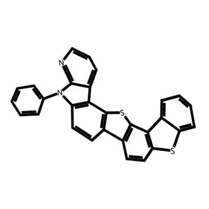 c1ccc(-n2c3ccc4c5ccc6sc7ccccc7c6c5sc4c3c3cccnc32)cc1